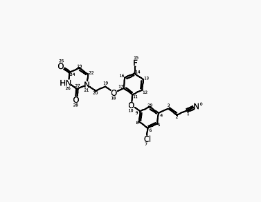 N#C/C=C/c1cc(Cl)cc(Oc2ccc(F)cc2OCCn2ccc(=O)[nH]c2=O)c1